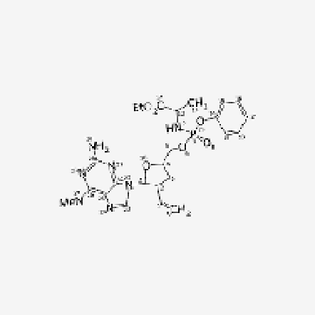 C=CC1CC(COP(=O)(NC(C)C(=O)OCC)Oc2ccccc2)OC1n1cnc2c(NC)nc(N)nc21